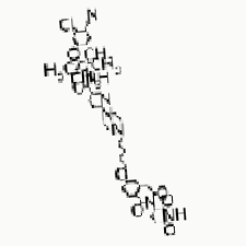 CC1(C)C(NC(=O)c2ccc(N3CCN(CCCCCOc4ccc5c(c4)CC(=O)N(C4CCC(=O)NC4=O)C5=O)CC3)nc2)C(C)(C)C1Oc1ccc(C#N)c(Cl)c1